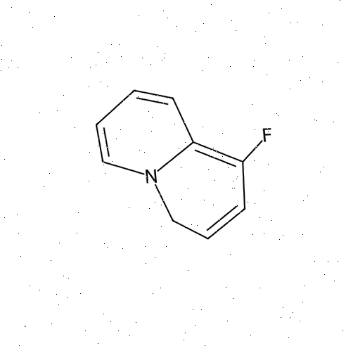 FC1=C2C=CC=CN2CC=C1